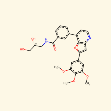 COc1cc(-c2cc3nccc(-c4cccc(C(=O)NC[C@@H](O)CO)c4)c3o2)cc(OC)c1OC